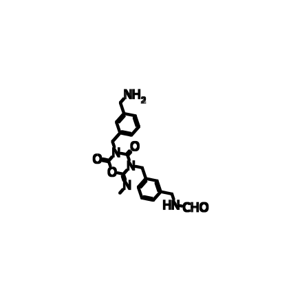 C/N=c1\oc(=O)n(Cc2cccc(CN)c2)c(=O)n1Cc1cccc(CNC=O)c1